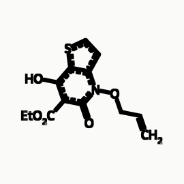 C=CCOn1c(=O)c(C(=O)OCC)c(O)c2sccc21